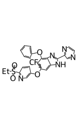 CCS(=O)(=O)c1ccc(Oc2cc(Oc3ccccc3C(F)(F)F)c3nc(-c4cnccn4)[nH]c3c2)cn1